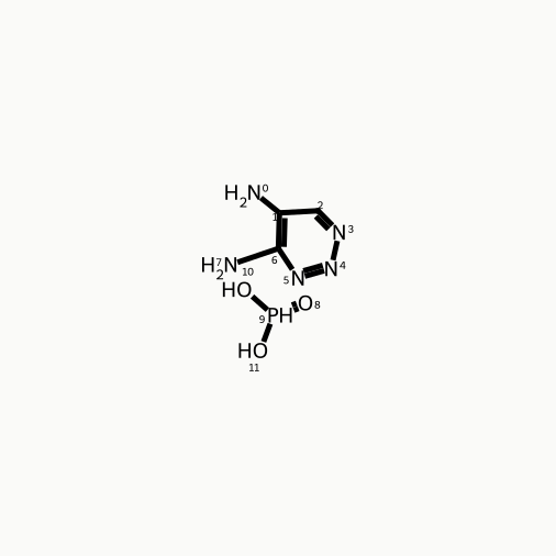 Nc1cnnnc1N.O=[PH](O)O